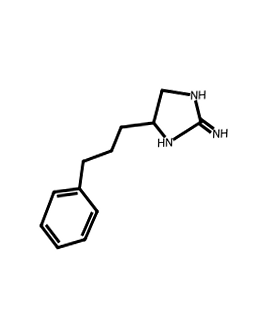 N=C1NCC(CCCc2ccccc2)N1